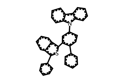 c1ccc(-c2ccc(-n3c4ccccc4c4ccccc43)cc2-c2sc(-c3ccccc3)c3ccccc23)cc1